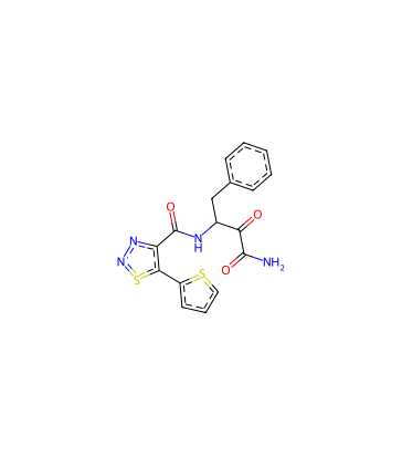 NC(=O)C(=O)C(Cc1ccccc1)NC(=O)c1nnsc1-c1cccs1